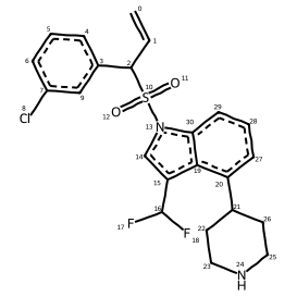 C=CC(c1cccc(Cl)c1)S(=O)(=O)n1cc(C(F)F)c2c(C3CCNCC3)cccc21